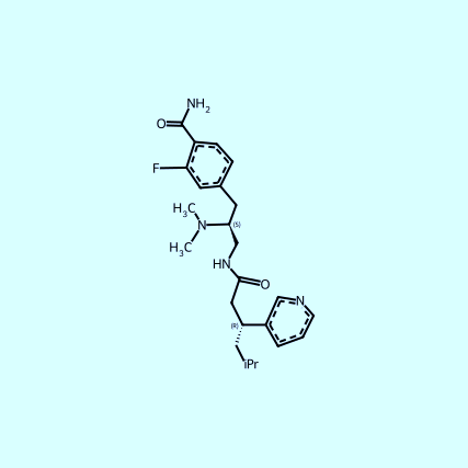 CC(C)C[C@H](CC(=O)NC[C@H](Cc1ccc(C(N)=O)c(F)c1)N(C)C)c1cccnc1